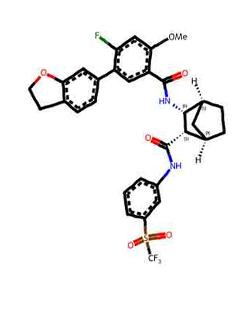 COc1cc(F)c(-c2ccc3c(c2)OCC3)cc1C(=O)N[C@@H]1[C@H]2CC[C@H](C2)[C@@H]1C(=O)Nc1cccc(S(=O)(=O)C(F)(F)F)c1